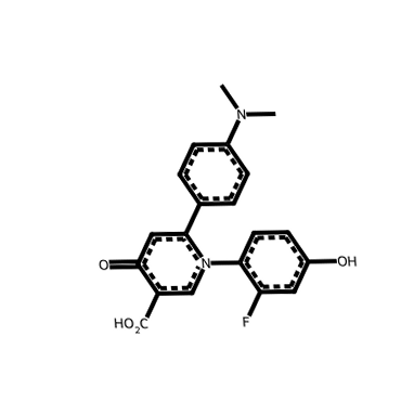 CN(C)c1ccc(-c2cc(=O)c(C(=O)O)cn2-c2ccc(O)cc2F)cc1